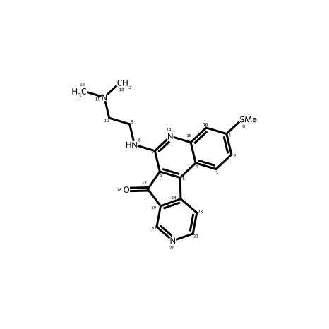 CSc1ccc2c3c(c(NCCN(C)C)nc2c1)C(=O)c1cnccc1-3